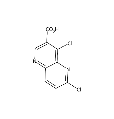 O=C(O)c1cnc2ccc(Cl)nc2c1Cl